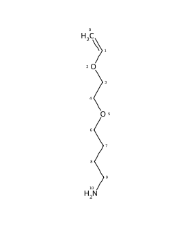 C=COCCOCCCCN